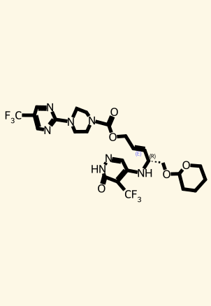 O=C(OC/C=C/[C@H](COC1CCCCO1)Nc1cn[nH]c(=O)c1C(F)(F)F)N1CCN(c2ncc(C(F)(F)F)cn2)CC1